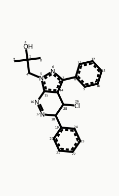 CC(C)(O)Cn1nc(-c2ccccc2)c2c1N=NC(c1ccccc1)C2Cl